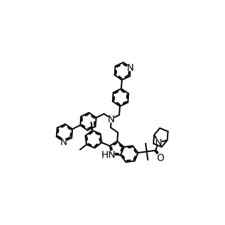 Cc1cc(C)cc(-c2[nH]c3ccc(C(C)(C)C(=O)N4C5CCC4CC5)cc3c2CCN(Cc2ccc(-c3cccnc3)cc2)Cc2ccc(-c3cccnc3)cc2)c1